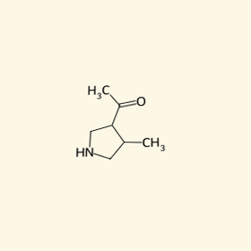 CC(=O)C1CNCC1C